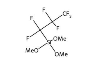 CO[Si](OC)(OC)C(F)(F)C(F)(F)C(F)(F)F